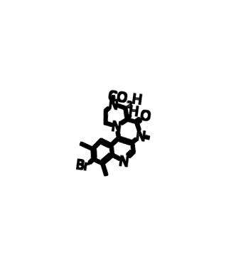 Cc1cc2c3c(cnc2c(C)c1Br)N(C)C(=O)[C@H]1CN(C(=O)O)CCN31